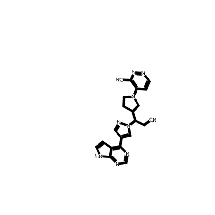 N#CCC(C1CCN(c2ccnnc2C#N)C1)n1cc(-c2ncnc3[nH]ccc23)cn1